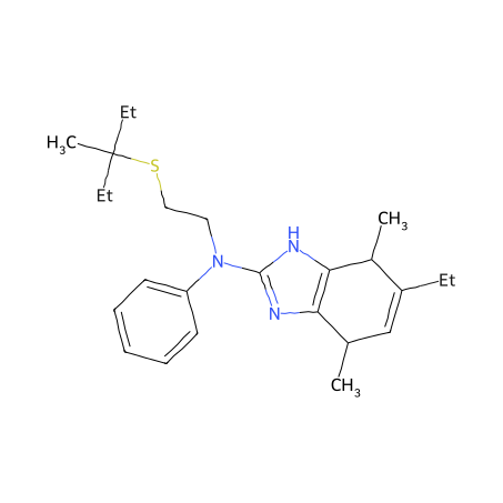 CCC1=CC(C)c2nc(N(CCSC(C)(CC)CC)c3ccccc3)[nH]c2C1C